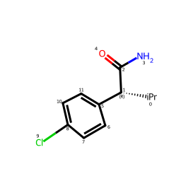 CC(C)[C@@H](C(N)=O)c1ccc(Cl)cc1